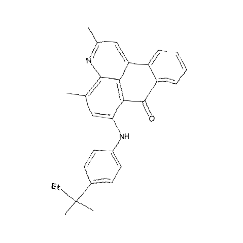 CCC(C)(C)c1ccc(Nc2cc(C)c3nc(C)cc4c3c2C(=O)c2ccccc2-4)cc1